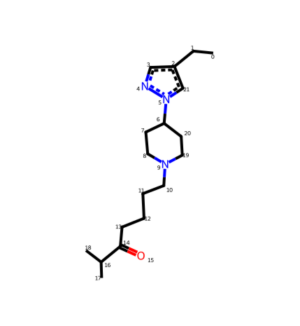 CCc1cnn(C2CCN(CCCCC(=O)C(C)C)CC2)c1